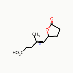 C/C(=C\C1CCC(=O)O1)CCC(=O)O